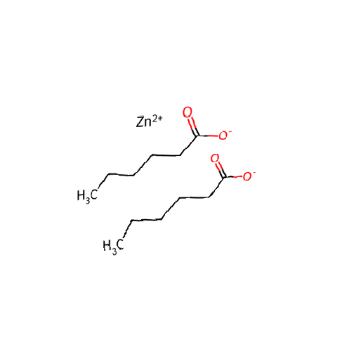 CCCCCC(=O)[O-].CCCCCC(=O)[O-].[Zn+2]